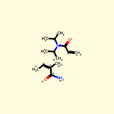 C=CC(=O)N(C(C)C)C(C)C.CC=C(C)C(N)=O